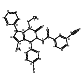 CCN1C(=O)C(NC(=O)c2cccc(C#N)c2)C(c2ccc(F)cc2)c2c(C)nn(-c3ccccc3)c21